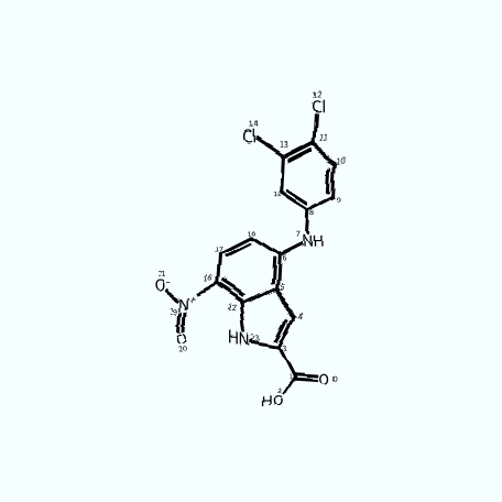 O=C(O)c1cc2c(Nc3ccc(Cl)c(Cl)c3)ccc([N+](=O)[O-])c2[nH]1